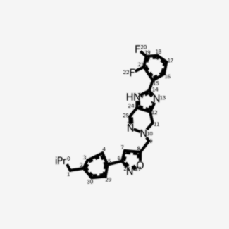 CC(C)Cc1ccc(-c2cc(CN3Cc4nc(-c5cccc(F)c5F)[nH]c4C=N3)on2)cc1